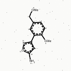 COCc1ccc(OC)c(-c2cc(N)on2)c1